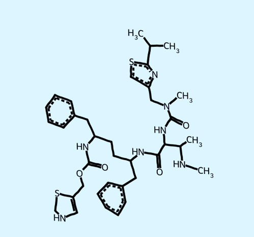 CNC(C)C(NC(=O)N(C)Cc1csc(C(C)C)n1)C(=O)NC(CCC(Cc1ccccc1)NC(=O)OCC1=CNCS1)Cc1ccccc1